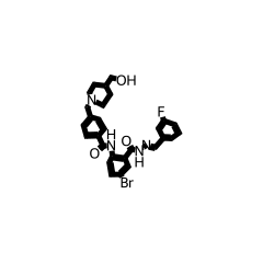 O=C(Nc1ccc(Br)cc1C(=O)N/N=C/c1cccc(F)c1)c1ccc(CN2CCC(CO)CC2)cc1